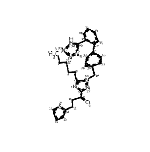 CCCCCc1nc(C(=O)CCc2cccs2)nn1Cc1ccc(-c2ccccc2-c2nnn[nH]2)cc1